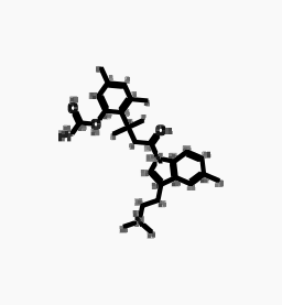 Cc1cc(C)c(C(C)(C)CC(=O)n2cc(CCN(C)C)c3cc(C)ccc32)c(OC(=O)C(C)C)c1